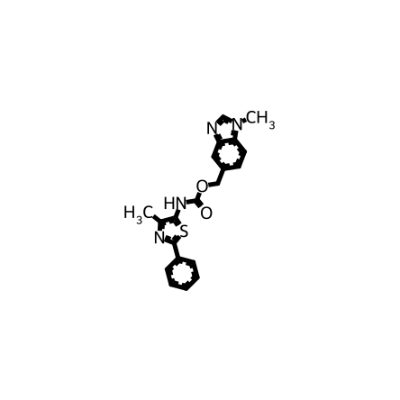 Cc1nc(-c2ccccc2)sc1NC(=O)OCc1ccc2c(c1)ncn2C